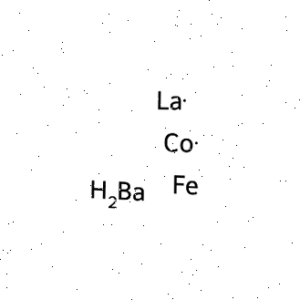 [BaH2].[Co].[Fe].[La]